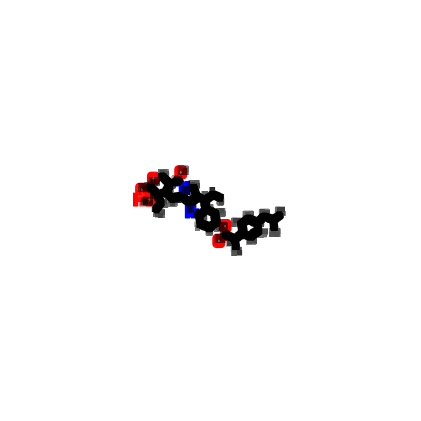 CCc1c2c(nc3ccc(OC(=O)C(C)c4ccc(CC(C)C)cc4)cc13)-c1cc3c(c(=O)n1C2)COC(=O)[C@]3(O)CC